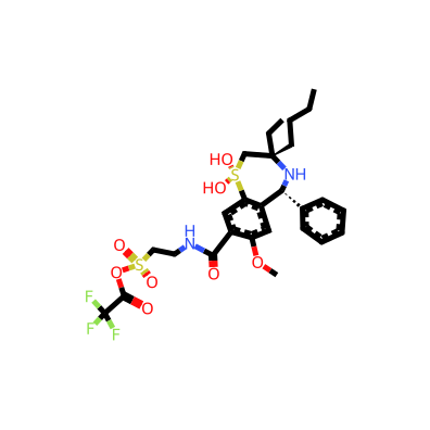 CCCC[C@]1(CC)CS(O)(O)c2cc(C(=O)NCCS(=O)(=O)OC(=O)C(F)(F)F)c(OC)cc2[C@@H](c2ccccc2)N1